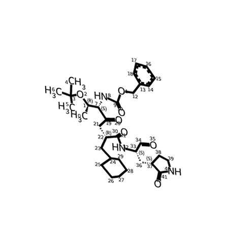 C[C@@H](OC(C)(C)C)[C@H](NC(=O)OCc1ccccc1)C(=O)C[C@@H](CC1CCCCC1)C(=O)N[C@H](C=O)C[C@@H]1CCNC1=O